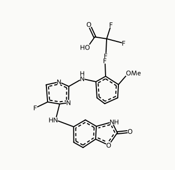 COc1cccc(Nc2ncc(F)c(Nc3ccc4oc(=O)[nH]c4c3)n2)c1F.O=C(O)C(F)(F)F